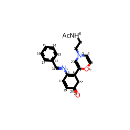 CC(=O)NCCN1C=COC(C2=C(N=Cc3ccccc3)C=CC(=O)C2)=C1